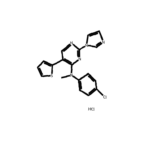 CN(c1ccc(Cl)cc1)c1nc(-n2ccnc2)ncc1-c1cccs1.Cl